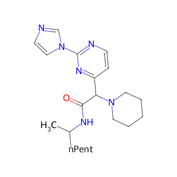 CCCCCC(C)NC(=O)C(c1ccnc(-n2ccnc2)n1)N1CCCCC1